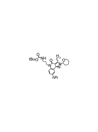 CCCc1ccc2c(c1)c1nn(C3CCCCO3)c(C)c1c(=O)n2CCCNC(=O)OC(C)(C)C